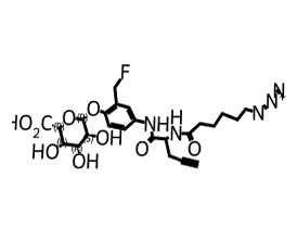 C#CCC(NC(=O)CCCCCN=[N+]=[N-])C(=O)Nc1ccc(O[C@H]2O[C@@H](C(=O)O)[C@H](O)[C@@H](O)[C@@H]2O)c(CF)c1